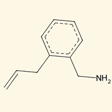 C=CCc1ccccc1CN